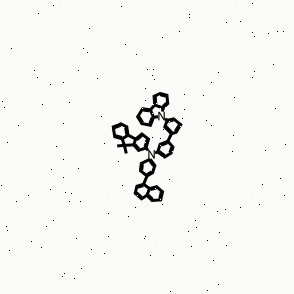 CC1(C)c2ccccc2-c2ccc(N(c3ccc(-c4cccc5ccccc45)cc3)c3cccc(-c4cccc(-n5c6ccccc6c6ccccc65)c4)c3)cc21